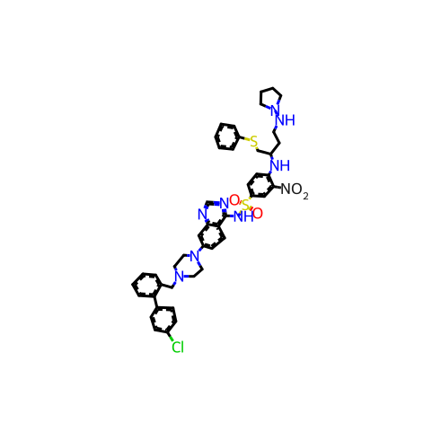 O=[N+]([O-])c1cc(S(=O)(=O)Nc2ncnc3cc(N4CCN(Cc5ccccc5-c5ccc(Cl)cc5)CC4)ccc23)ccc1NC(CCNN1CCCC1)CSc1ccccc1